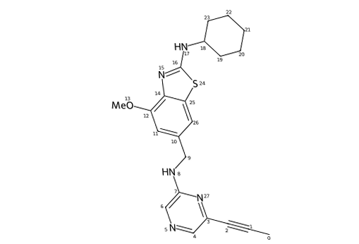 CC#Cc1cncc(NCc2cc(OC)c3nc(NC4CCCCC4)sc3c2)n1